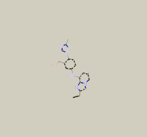 C=Cc1cn2cc(C(F)(F)F)cc(Nc3ccc(-n4cnc(C)n4)c(CO)c3)c2n1